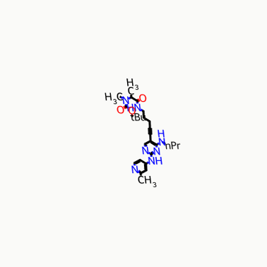 CCCNc1nc(Nc2ccnc(C)c2)ncc1C#CCCCNC(=O)C(C)N(C)C(=O)OC(C)(C)C